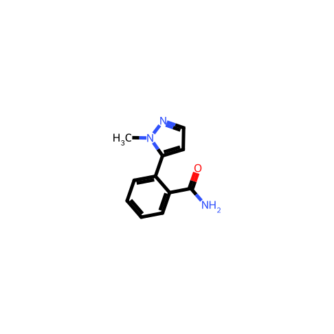 Cn1nccc1-c1ccccc1C(N)=O